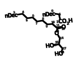 CCCCCCCCCCCC(=O)O.CCCCCCCCCCCCCCCCCC(=O)OCC(O)CO